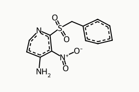 Nc1ccnc(S(=O)(=O)Cc2ccccc2)c1[N+](=O)[O-]